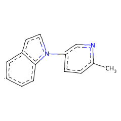 Cc1ccc(-n2ccc3c[c]ccc32)cn1